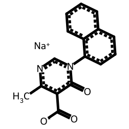 Cc1ncn(-c2cccc3ccccc23)c(=O)c1C(=O)[O-].[Na+]